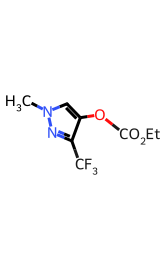 CCOC(=O)Oc1cn(C)nc1C(F)(F)F